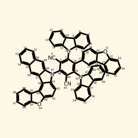 N#Cc1c(-n2c3ccccc3c3ccccc32)c(-c2ccc3oc4ccccc4c3c2)c(-n2c3ccccc3c3ccccc32)c(C#N)c1-n1c2cc3ccccc3cc2c2c3c(ccc21)oc1ccccc13